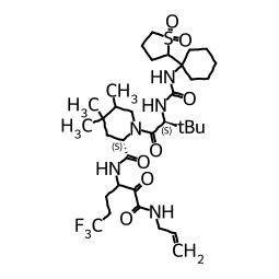 C=CCNC(=O)C(=O)C(CCC(F)(F)F)NC(=O)[C@@H]1CC(C)(C)C(C)CN1C(=O)[C@@H](NC(=O)NC1(C2CCCS2(=O)=O)CCCCC1)C(C)(C)C